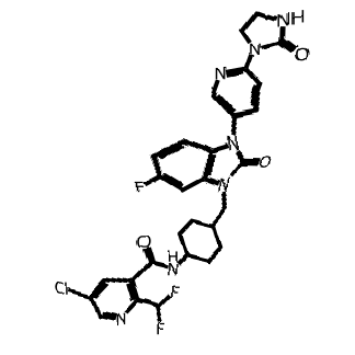 O=C(NC1CCC(Cn2c(=O)n(-c3ccc(N4CCNC4=O)nc3)c3ccc(F)cc32)CC1)c1cc(Cl)cnc1C(F)F